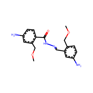 COCc1ccc(N)cc1/C=N/NC(=O)c1ccc(N)cc1COC